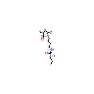 CCCNC(=O)NCCCCN1C(=O)CC(C)C1=O